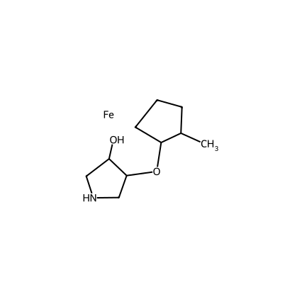 CC1CCCC1OC1CNCC1O.[Fe]